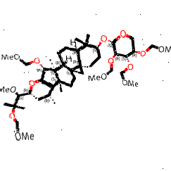 COCO[C@@H]1[C@@H](OCOC)[C@H](O[C@H]2CC[C@]34C[C@]35CC[C@]3(C)C6=C(O[C@@H]([C@H](OC)C(C)(C)OCOC)C[C@H]6C)[C@H](OCOC)[C@@]3(C)[C@@H]5CC[C@H]4C2(C)C)OC[C@H]1OCOC